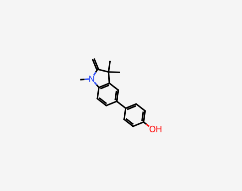 C=C1N(C)c2ccc(-c3ccc(O)cc3)cc2C1(C)C